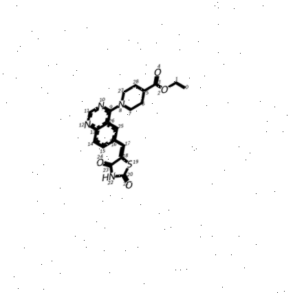 CCOC(=O)C1CCN(c2ncnc3ccc(C=C4SC(=O)NC4=O)cc23)CC1